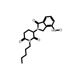 CCCCCN1C(=O)CCC(N2Cc3c(NCl)cccc3C2=O)C1=O